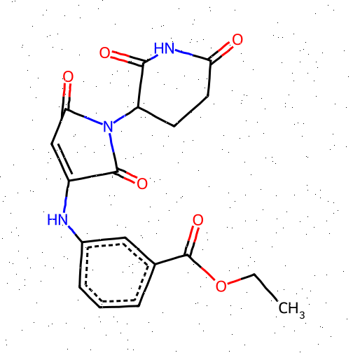 CCOC(=O)c1cccc(NC2=CC(=O)N(C3CCC(=O)NC3=O)C2=O)c1